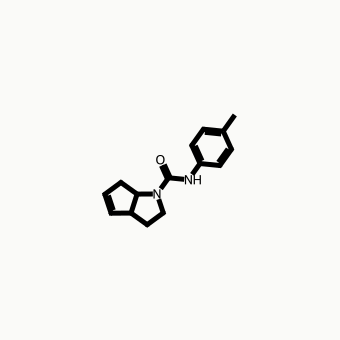 Cc1ccc(NC(=O)N2CCC3C=CCC32)cc1